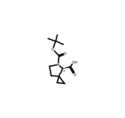 CC(C)(C)OC(=O)N1CCC2(CC2)[C@@H]1C(=O)O